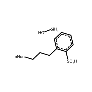 CCCCCCCCCCCCc1ccccc1S(=O)(=O)O.O[SiH3]